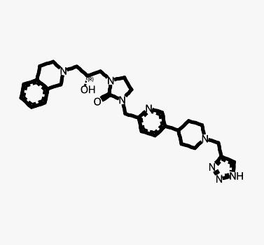 O=C1N(Cc2ccc(C3CCN(Cc4c[nH]nn4)CC3)cn2)CCN1C[C@H](O)CN1CCc2ccccc2C1